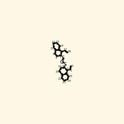 C=Cc1c(SOSc2ccc3ccccc3c2C=C)ccc2ccccc12